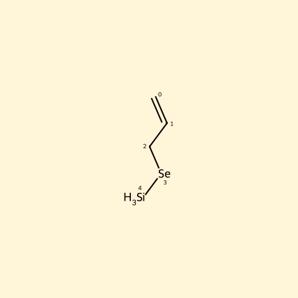 C=CC[Se][SiH3]